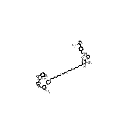 Cc1nc(Nc2ncc(C(=O)Nc3c(C)cccc3Cl)s2)cc(N2CCN(CCCCCCOCCOCCOCCCCCC(=O)N[C@H](C(=O)N3CCC[C@H]3C(=O)NCc3ccc(-c4scnc4C)cc3)C(C)(C)C)CC2)n1